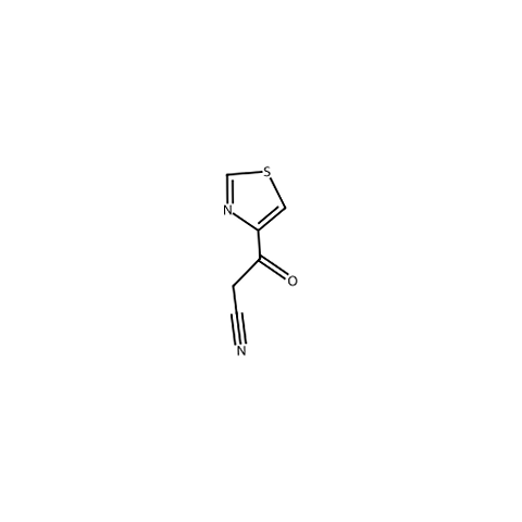 N#CCC(=O)c1cscn1